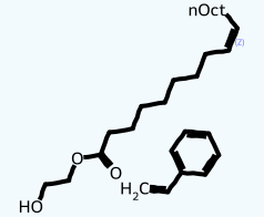 C=Cc1ccccc1.CCCCCCCC/C=C\CCCCCCCC(=O)OCCO